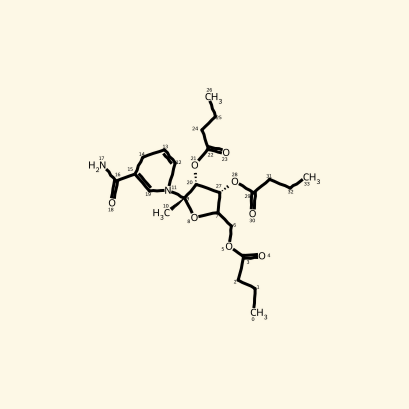 CCCC(=O)OCC1O[C@](C)(N2C=CCC(C(N)=O)=C2)[C@H](OC(=O)CCC)[C@@H]1OC(=O)CCC